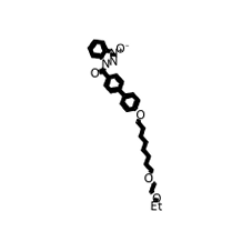 CCOCCOCCCCCCCCOc1ccc(-c2ccc(C(=O)n3n[n+]([O-])c4ccccc43)cc2)cc1